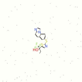 CCC(O)(c1cnc(Sc2ccc3c(ccc4nccn43)c2)s1)C(F)(F)F